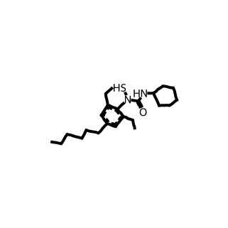 CCCCCCc1cc(CC)c(N(S)C(=O)NC2CCCCC2)c(CC)c1